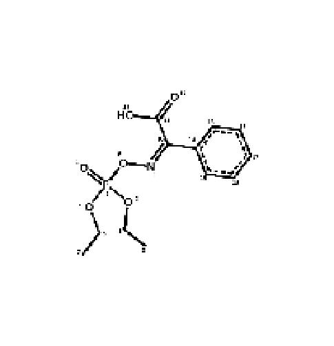 CCOP(=O)(OCC)ON=C(C(=O)O)c1ccccc1